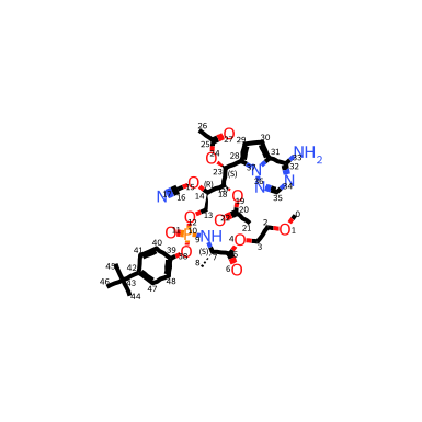 COCCOC(=O)[C@H](C)NP(=O)(OC[C@@H](OC#N)[C@@H](OC(C)=O)[C@@H](OC(C)=O)c1ccc2c(N)ncnn12)Oc1ccc(C(C)(C)C)cc1